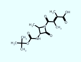 C/C(C(=O)O)=C(/C)C(=O)N1C(=O)[C@@H](NC(=O)OC(C)(C)C)C1C